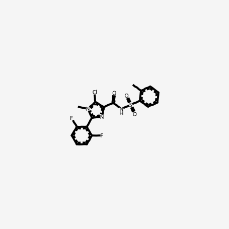 Cc1ccccc1S(=O)(=O)NC(=O)c1nc(-c2c(F)cccc2F)n(C)c1Cl